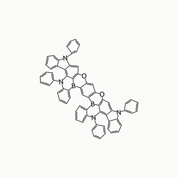 c1ccc(N2c3ccccc3B3c4cc5c(cc4Oc4cc6c(c2c43)c2ccccc2n6-c2ccccc2)Oc2cc3c(c4c2B5c2ccccc2N4c2ccccc2)c2ccccc2n3-c2ccccc2)cc1